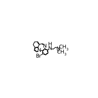 CN(C)CCNc1ccc(Br)c2c1N=CC1=CCCc3ccn-2c31